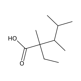 CCC(C)(C(=O)O)C(C)C(C)C